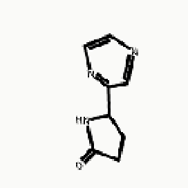 O=C1CCC(c2cnccn2)N1